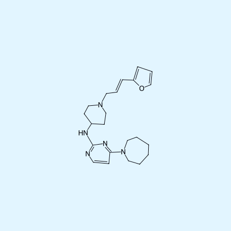 C(=Cc1ccco1)CN1CCC(Nc2nccc(N3CCCCCC3)n2)CC1